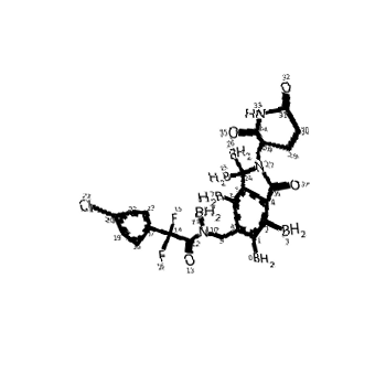 Bc1c(B)c2c(c(B)c1CN(B)C(=O)C(F)(F)c1ccc(Cl)cc1)C(B)(B)N(C1CCC(=O)NC1=O)C2=O